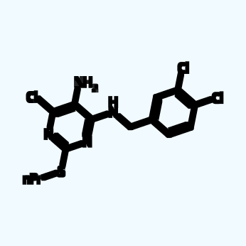 CCCSc1nc(Cl)c(N)c(NCc2ccc(Cl)c(Cl)c2)n1